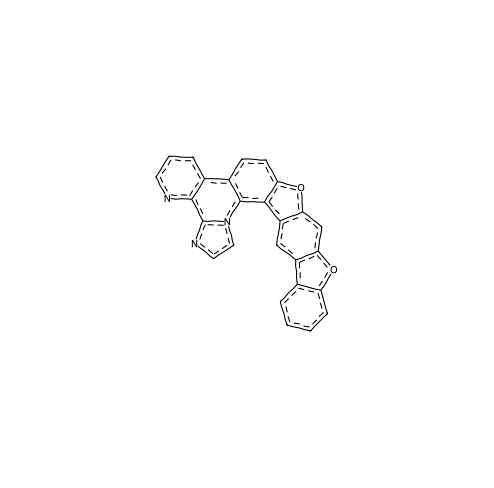 c1ccc2c(c1)oc1cc3oc4ccc5c6cccnc6c6nccn6c5c4c3cc12